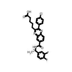 C[C@H](NC(=O)c1ccc2nc(-c3ccc(Cl)cc3)c(CCCCC(=O)O)nc2c1)c1ccc(F)c(F)c1